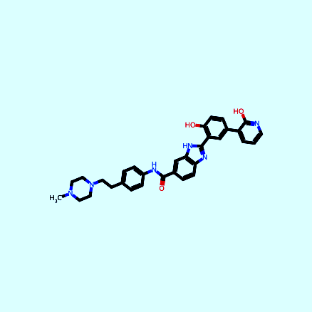 CN1CCN(CCc2ccc(NC(=O)c3ccc4nc(-c5cc(-c6cccnc6O)ccc5O)[nH]c4c3)cc2)CC1